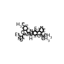 CCc1nocc1C(=O)NC(c1nc2c(F)c(-c3cnccc3C(=O)N(C)C)ccc2[nH]1)C1CCC(C)CC1